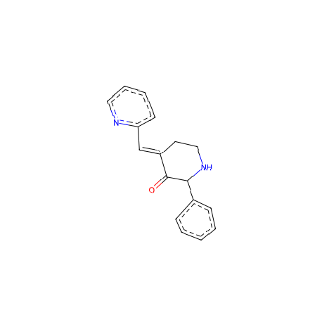 O=C1C(=Cc2ccccn2)CCNC1c1ccccc1